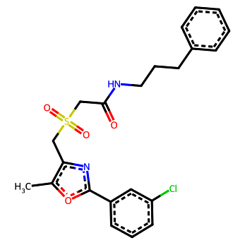 Cc1oc(-c2cccc(Cl)c2)nc1CS(=O)(=O)CC(=O)NCCCc1ccccc1